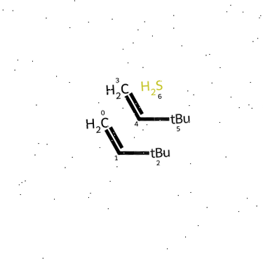 C=CC(C)(C)C.C=CC(C)(C)C.S